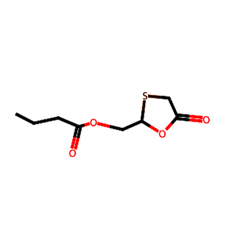 CCCC(=O)OCC1OC(=O)CS1